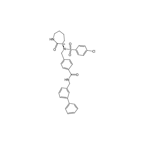 O=C(NCc1cccc(-c2ccccc2)c1)c1ccc(CN([C@@H]2CCCCNC2=O)S(=O)(=O)c2ccc(Cl)cc2)cc1